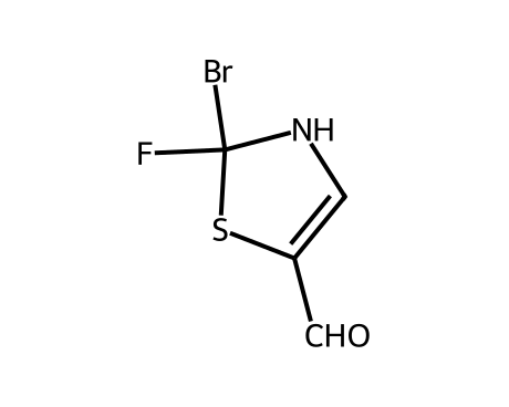 O=CC1=CNC(F)(Br)S1